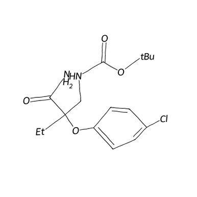 CCC(CNC(=O)OC(C)(C)C)(Oc1ccc(Cl)cc1)C(N)=O